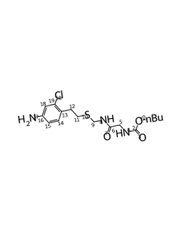 CCCCOC(=O)NCC(=O)NCSCCc1ccc(N)cc1Cl